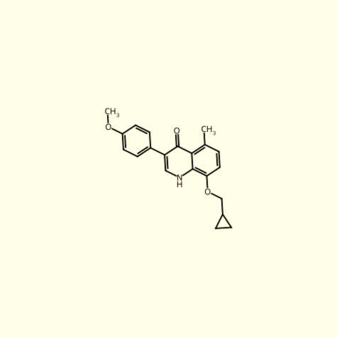 COc1ccc(-c2c[nH]c3c(OCC4CC4)ccc(C)c3c2=O)cc1